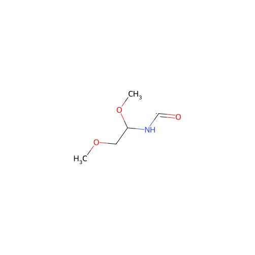 COCC(N[C]=O)OC